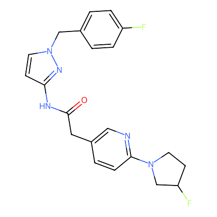 O=C(Cc1ccc(N2CCC(F)C2)nc1)Nc1ccn(Cc2ccc(F)cc2)n1